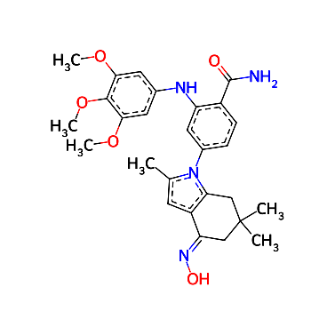 COc1cc(Nc2cc(-n3c(C)cc4c3CC(C)(C)C/C4=N\O)ccc2C(N)=O)cc(OC)c1OC